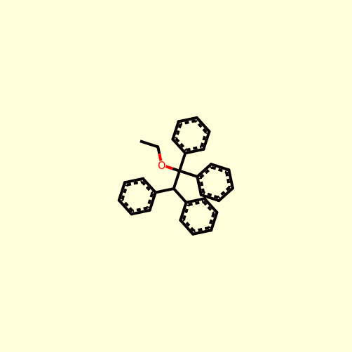 CCOC(c1ccccc1)(c1ccccc1)C(c1ccccc1)c1ccccc1